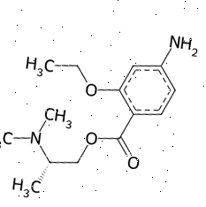 CCOc1cc(N)ccc1C(=O)OC[C@H](C)N(C)C